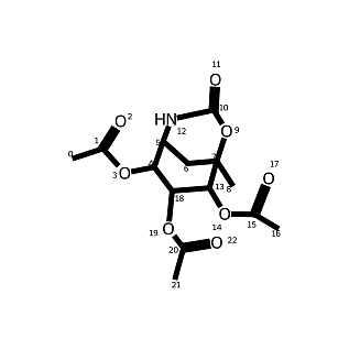 CC(=O)OC1C2CC(C)(OC(=O)N2)C(OC(C)=O)C1OC(C)=O